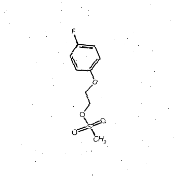 CS(=O)(=O)OCCOc1ccc(F)cc1